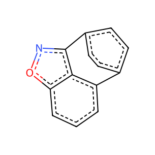 c1cc2c3c(noc3c1)-c1ccc-2cc1